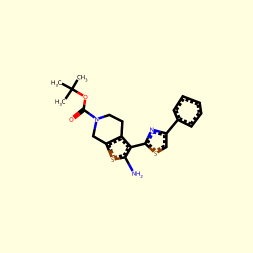 CC(C)(C)OC(=O)N1CCc2c(sc(N)c2-c2nc(-c3ccccc3)cs2)C1